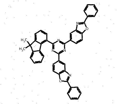 CC1(C)c2ccccc2-c2c(-c3nc(-c4ccc5oc(-c6ccccc6)nc5c4)nc(-c4ccc5oc(-c6ccccc6)nc5c4)n3)cccc21